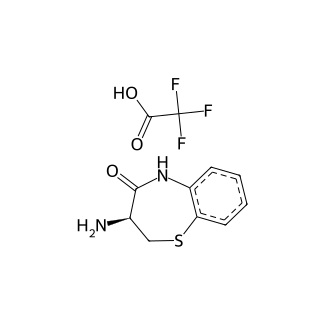 N[C@@H]1CSc2ccccc2NC1=O.O=C(O)C(F)(F)F